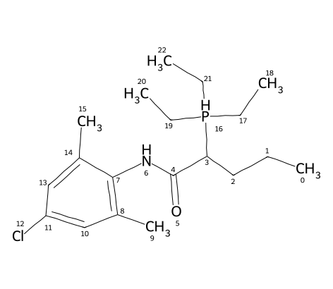 CCCC(C(=O)Nc1c(C)cc(Cl)cc1C)[PH](CC)(CC)CC